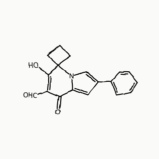 O=CC1=C(O)C2(CCC2)n2cc(-c3ccccc3)cc2C1=O